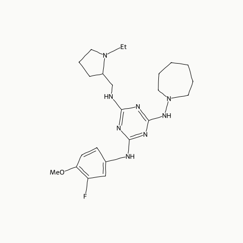 CCN1CCCC1CNc1nc(Nc2ccc(OC)c(F)c2)nc(NN2CCCCCC2)n1